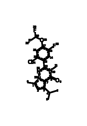 Cc1cc(C(C)C)c2c(=O)n(C)c(-c3cc(F)c(OC(F)F)cc3Cl)nn12